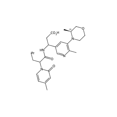 Cc1ccn(C(CC(C)C)C(=O)NC(CC(=O)O)c2cnc(C)c(N3CCOC[C@@H]3C)c2)c(=O)c1